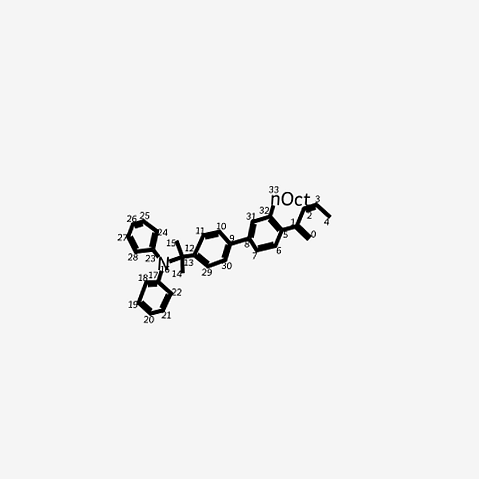 C=C(/C=C\C)c1ccc(-c2ccc(C(C)(C)N(c3ccccc3)c3ccccc3)cc2)cc1CCCCCCCC